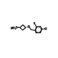 O=C(O)[C@H]1C[C@H](OCc2ccc(Cl)cc2F)C1